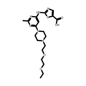 CCOCCOCCN1CCN(c2cc(Nc3ncc(C(=O)O)s3)nc(C)n2)CC1